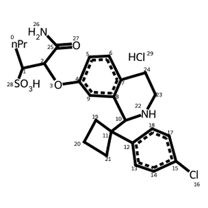 CCCC(C(Oc1ccc2c(c1)C(C1(c3ccc(Cl)cc3)CCC1)NCC2)C(N)=O)S(=O)(=O)O.Cl